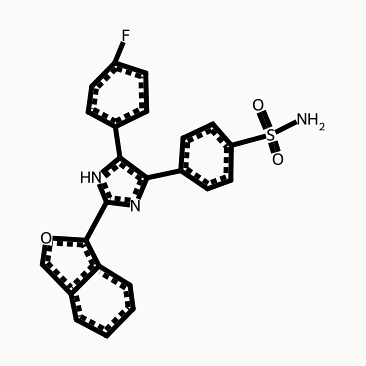 NS(=O)(=O)c1ccc(-c2nc(-c3occ4ccccc34)[nH]c2-c2ccc(F)cc2)cc1